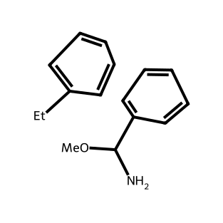 CCc1ccccc1.COC(N)c1ccccc1